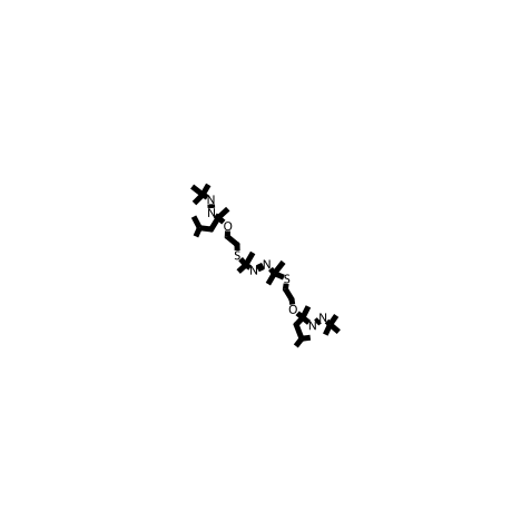 CC(C)CC(C)(N=NC(C)(C)C)OCCSC(C)(C)N=NC(C)(C)SCCOC(C)(CC(C)C)N=NC(C)(C)C